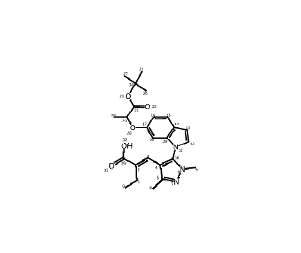 CCC(=Cc1c(C)nn(C)c1-n1ccc2ccc(OC(C)C(=O)OC(C)(C)C)cc21)C(=O)O